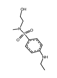 CCNc1ccc(S(=O)(=O)N(C)CCO)cc1